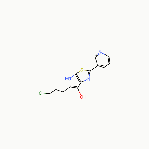 Oc1c(CCCCl)[nH]c2sc(-c3cccnc3)nc12